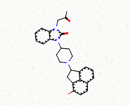 CNC(=O)Cn1c(=O)n(C2CCN(C3Cc4c(O)ccc5cccc3c45)CC2)c2ccccc21